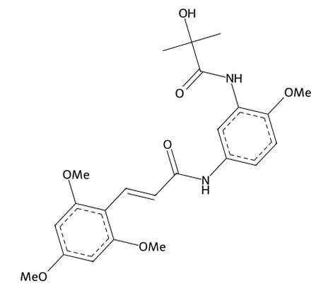 COc1cc(OC)c(C=CC(=O)Nc2ccc(OC)c(NC(=O)C(C)(C)O)c2)c(OC)c1